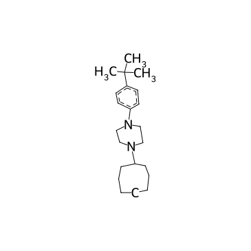 CC(C)(C)c1ccc(N2CCN(C3CCCCCCC3)CC2)cc1